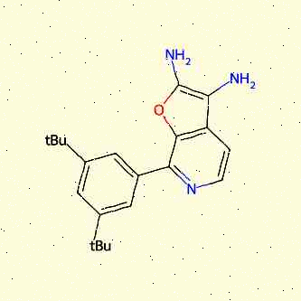 CC(C)(C)c1cc(-c2nccc3c(N)c(N)oc23)cc(C(C)(C)C)c1